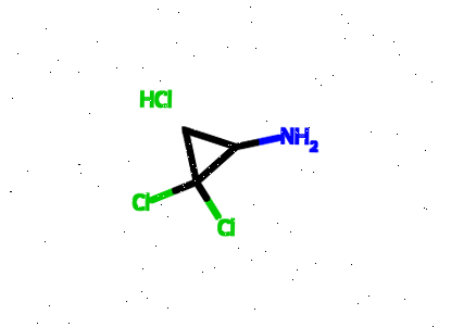 Cl.NC1CC1(Cl)Cl